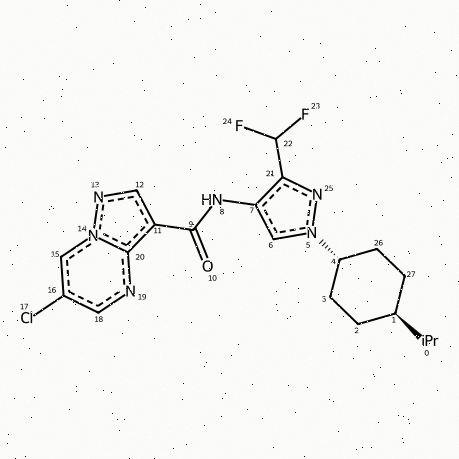 CC(C)[C@H]1CC[C@H](n2cc(NC(=O)c3cnn4cc(Cl)cnc34)c(C(F)F)n2)CC1